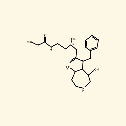 CC1CCNCC(O)C1N(Cc1ccccc1)C(=O)C[C@@H](C)CCNC(=O)OC(C)(C)C